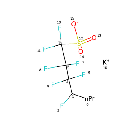 CCCC(F)C(F)(F)C(F)(F)C(F)(F)S(=O)(=O)[O-].[K+]